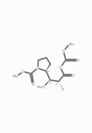 CO[C@H]([C@@H](C)C(=O)OC(=O)OC(C)(C)C)[C@@H]1CCCN1C(=O)OC(C)(C)C